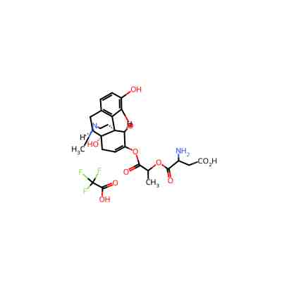 CC(OC(=O)C(N)CC(=O)O)C(=O)OC1=CC[C@@]2(O)[C@H]3Cc4ccc(O)c5c4[C@@]2(CCN3C)[C@H]1O5.O=C(O)C(F)(F)F